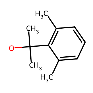 Cc1cccc(C)c1C(C)(C)[O]